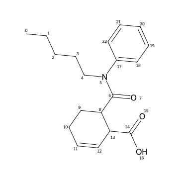 CCCCCN(C(=O)C1CCC=CC1C(=O)O)c1ccccc1